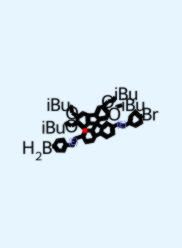 Bc1ccc(/C=C/c2ccc3c(c2)C2(c4cc(/C=C/c5ccc(Br)cc5)ccc4-3)c3cc(OCC(C)CC)c(OCC(C)CC)cc3-c3cc(OCC(C)CC)c(OCC(C)CC)cc32)cc1